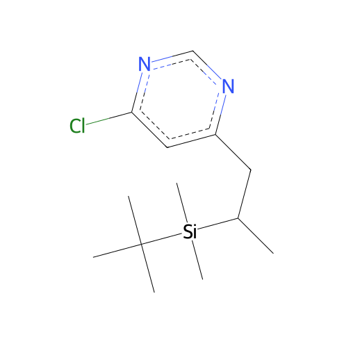 CC(Cc1cc(Cl)ncn1)[Si](C)(C)C(C)(C)C